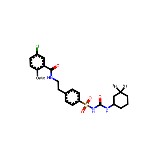 [2H]C1([2H])CCCC(NC(=O)NS(=O)(=O)c2ccc(CCNC(=O)c3cc(Cl)ccc3OC)cc2)C1